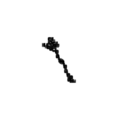 Cc1cc(C)c(C2=C(O)[C@]3(CC[C@H](OCCOCCN4CCN(CCOCCOCCOCC(=O)OC(C)(C)C)CC4)CC3)OC2=O)c(C)c1